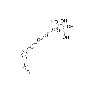 CCOC(C)(C)CCn1cc(COCCOCCOCCOC2OC(CO)C(O)C(O)C2O)nn1